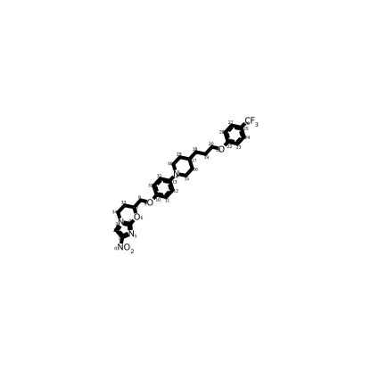 O=[N+]([O-])c1cn2c(n1)OC(COc1ccc(N3CCC(CCCOc4ccc(C(F)(F)F)cc4)CC3)cc1)CC2